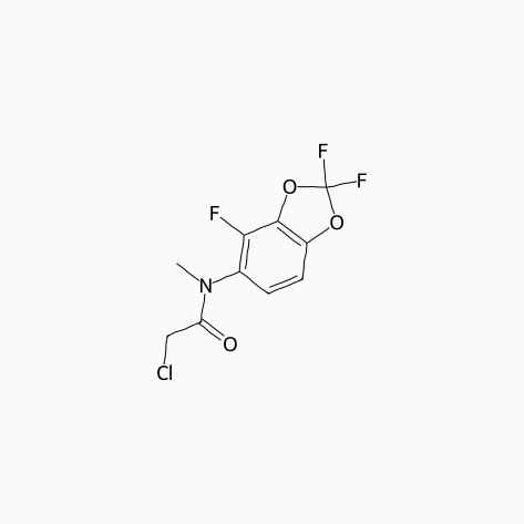 CN(C(=O)CCl)c1ccc2c(c1F)OC(F)(F)O2